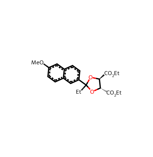 CCOC(=O)[C@@H]1OC(CC)(c2ccc3cc(OC)ccc3c2)O[C@H]1C(=O)OCC